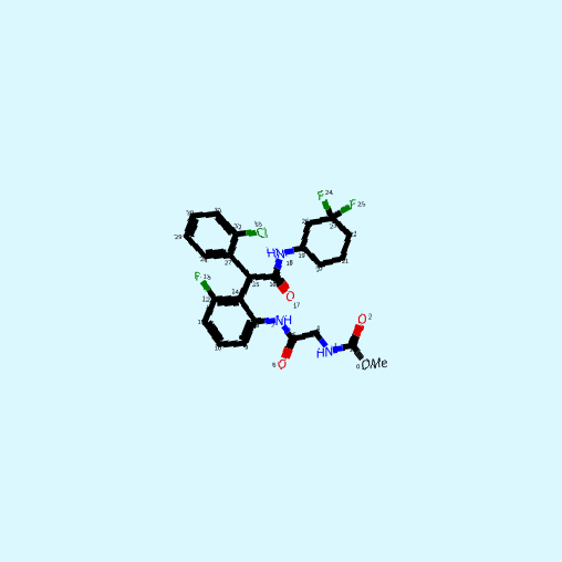 COC(=O)NCC(=O)Nc1cccc(F)c1C(C(=O)NC1CCCC(F)(F)C1)c1ccccc1Cl